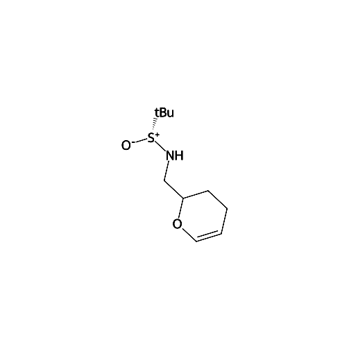 CC(C)(C)[S@@+]([O-])NCC1CCC=CO1